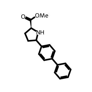 COC(=O)[C@@H]1CCC(c2ccc(-c3ccccc3)cc2)N1